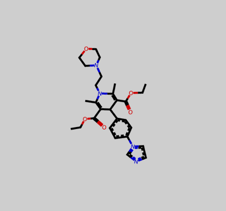 CCOC(=O)C1=C(C)N(CCN2CCOCC2)C(C)=C(C(=O)OCC)C1c1ccc(-n2ccnc2)cc1